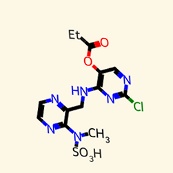 CCC(=O)Oc1cnc(Cl)nc1NCc1nccnc1N(C)S(=O)(=O)O